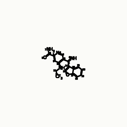 N=C(c1cnc(C(N)=O)cc1NCC(F)(F)F)c1coc2ccccc12